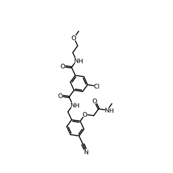 CNC(=O)COc1cc(C#N)ccc1CNC(=O)c1cc(Cl)cc(C(=O)NCCOC)c1